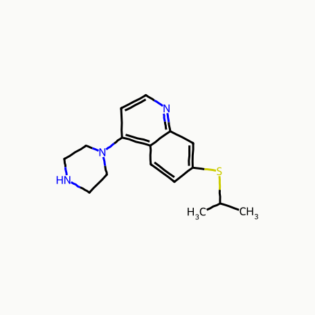 CC(C)Sc1ccc2c(N3CCNCC3)ccnc2c1